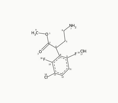 COC(=O)C(CCN)c1c(F)ccc(Cl)c1F.Cl